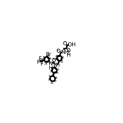 O=C(NCC(O)C(=O)O)c1ccc(CN(C(=O)Nc2cc(Br)cc(C(F)(F)F)c2)c2ccc(C3CCCCC3)cc2)cc1